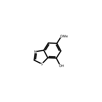 COc1cc(O)c2scnc2c1